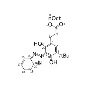 CCCCCCCCOC(=O)CCc1cc(C(C)(C)C)c(O)c(-n2nc3ccccc3n2)c1O